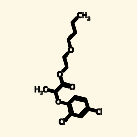 CCCCOCCOC(=O)C(C)Oc1ccc(Cl)cc1Cl